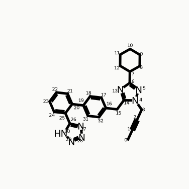 CC#CCn1nc(C2CCCCC2)nc1Cc1ccc(-c2ccccc2-c2nnn[nH]2)cc1